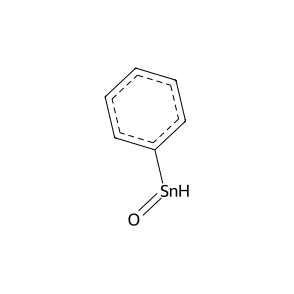 [O]=[SnH][c]1ccccc1